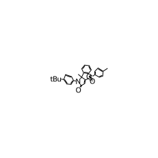 Cc1ccc(S(=O)(=O)C2=CC(=O)N(c3ccc(C(C)(C)C)cc3)C2(C)c2ccccc2)cc1